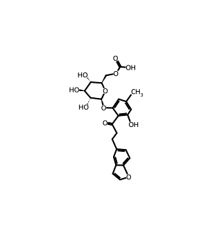 Cc1cc(O)c(C(=O)CCc2ccc3occc3c2)c(O[C@@H]2O[C@H](COC(=O)O)[C@@H](O)[C@H](O)[C@H]2O)c1